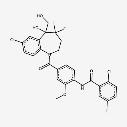 COc1cc(C(=O)N2CCC(F)(F)C(O)(CO)c3cc(Cl)ccc32)ccc1NC(=O)c1cc(F)ccc1Cl